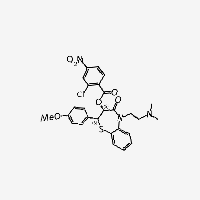 COc1ccc([C@@H]2Sc3ccccc3N(CCN(C)C)C(=O)[C@@H]2OC(=O)c2ccc([N+](=O)[O-])cc2Cl)cc1